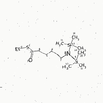 CCSC(=O)CCCCN([Si](C)(C)C)[Si](C)(C)C